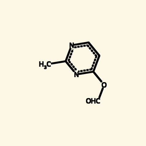 Cc1nccc(OC=O)n1